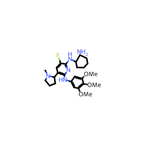 COc1cc(Nc2nc(NC3CCCCC3N)c(F)cc2C2CCCN2C)cc(OC)c1OC